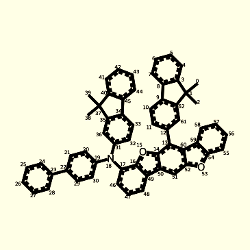 CC1(C)c2ccccc2-c2ccc(-c3c4oc5c(N(c6ccc(-c7ccccc7)cc6)c6ccc7c(c6)C(C)(C)c6ccccc6-7)cccc5c4cc4oc5ccccc5c34)cc21